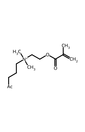 C=C(C)C(=O)OCC[N+](C)(C)CCCC(C)=O